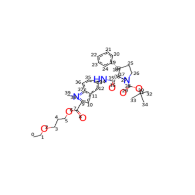 CCOCCCOC(=O)c1cc2cc(NC(=O)[C@@H]3[C@H](c4ccccc4)CCN3C(=O)OC(C)(C)C)ccc2n1C